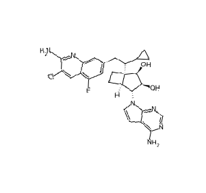 Nc1nc2cc(CC(C3CC3)[C@@]34CC[C@@H]3[C@@H](n3ccc5c(N)ncnc53)[C@H](O)[C@@H]4O)cc(F)c2cc1Cl